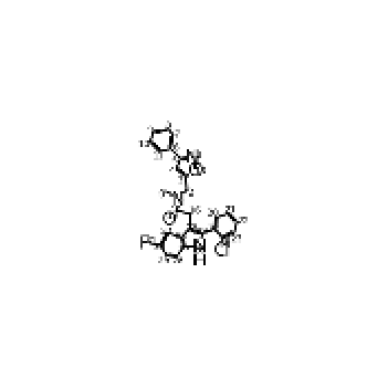 CN(Cc1cc(-c2ccccc2)no1)C(=O)Cc1c(-c2ccccc2Cl)[nH]c2ccc(F)cc12